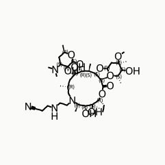 CC[C@H]1OC(=O)[C@H](C)[C@@H](O[C@H]2C[C@@](C)(OC)[C@@H](O)[C@H](C)O2)[C@H](C)[C@@H](O[C@@H]2O[C@H](C)C[C@H](N(C)C)[C@H]2O)[C@](C)(O)C[C@@H](C)CN(CCNCCC#N)[C@H](C)[C@@H](O)[C@]1(C)O